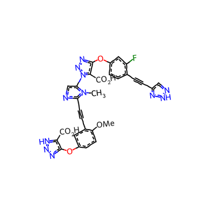 COc1ccc(Oc2nn[nH]c2C(=O)O)cc1C#Cc1ncc(-n2nnc(Oc3ccc(C#Cc4cn[nH]n4)c(F)c3)c2C(=O)O)n1C